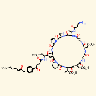 CCCCCCCCCCCCCCC(=O)Cc1ccc(C(=O)CCC(=O)NC(CC(=O)O)C(=O)CC2C(=O)N3CCCCC3C(=O)NC(C(C)C(=O)O)C(=O)CC(CC(=O)O)C(=O)NCC(=O)NC(CC(=O)O)C(=O)NCC(=O)NC(C(C)NC(=O)CCN)C(=O)NC(C(C)C)C(=O)N3CCCC3C(=O)NC2C)cc1